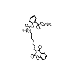 COC(=O)c1ccccc1OC(=O)NCCCCCCn1c(=O)oc2ccccc2c1=O